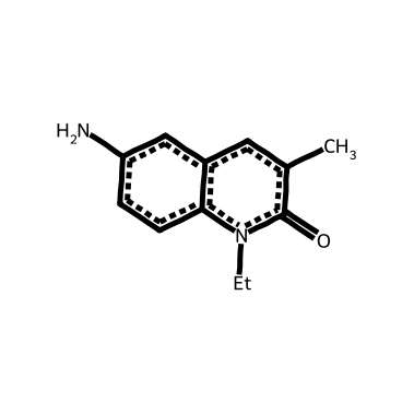 CCn1c(=O)c(C)cc2cc(N)ccc21